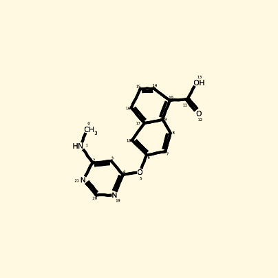 CNc1cc(Oc2ccc3c(C(=O)O)cccc3c2)ncn1